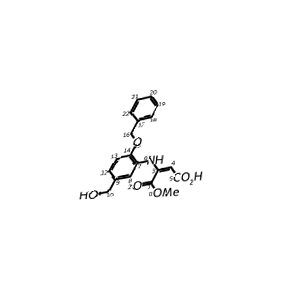 COC(=O)C(=CC(=O)O)Nc1cc(CO)ccc1OCc1ccccc1